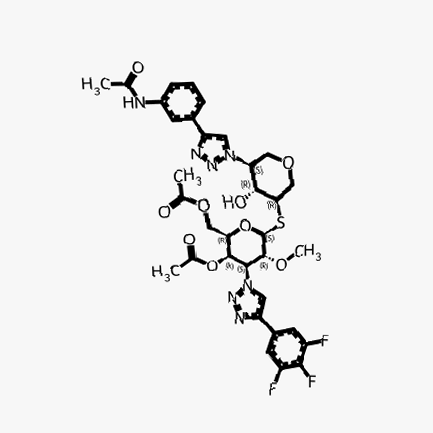 CO[C@@H]1[C@@H](n2cc(-c3cc(F)c(F)c(F)c3)nn2)[C@@H](OC(C)=O)[C@@H](COC(C)=O)O[C@H]1S[C@@H]1COC[C@H](n2cc(-c3cccc(NC(C)=O)c3)nn2)[C@H]1O